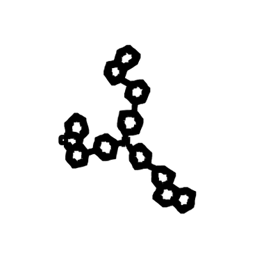 c1cc(-c2ccc(N(c3ccc(-c4ccc5c(ccc6ccccc65)c4)cc3)c3ccc(-c4cccc5oc6ccccc6c45)cc3)cc2)cc(-c2cccc3ccccc23)c1